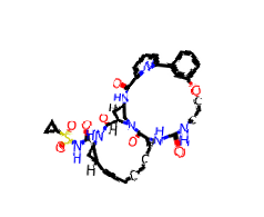 O=C1NCCCOc2cccc(c2)-c2cccc(n2)C(=O)N[C@@H]2C[C@H]3C(=O)N[C@]4(C(=O)NS(=O)(=O)C5CC5)C[C@H]4/C=C\CCCCC[C@H](N1)C(=O)N3C2